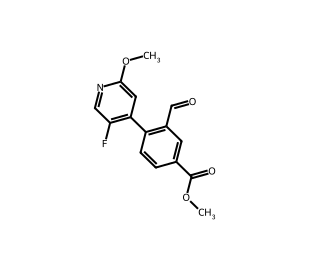 COC(=O)c1ccc(-c2cc(OC)ncc2F)c(C=O)c1